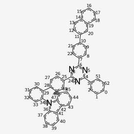 c1ccc(-c2nc(-c3ccc(-c4ccc5ccccc5c4)cc3)nc(-c3ccc(-c4ccccc4-n4c5ccccc5c5ccccc54)cc3)n2)cc1